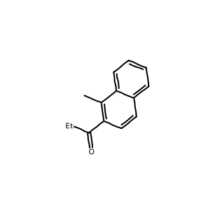 CCC(=O)c1ccc2ccccc2c1C